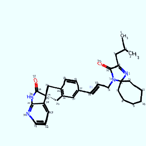 CC(C)CC1=NC2(CCCCCC2)N(C/C=C/c2ccc3c(c2)C[C@@]2(C3)C(=O)Nc3ncccc32)C1=O